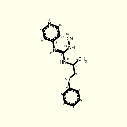 CC(COc1ccccc1)NC(=Nc1ccncc1)NC#N